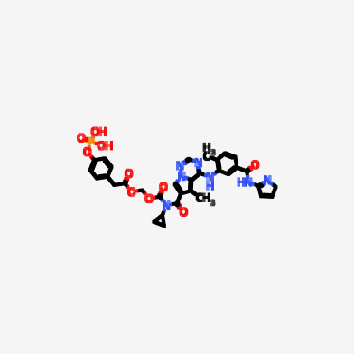 Cc1ccc(C(=O)NC2=NCC=C2)cc1Nc1ncnn2cc(C(=O)N(C(=O)OCOC(=O)Cc3ccc(OP(=O)(O)O)cc3)C3CC3)c(C)c12